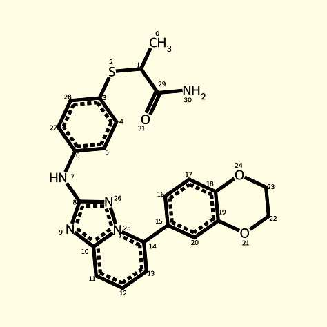 CC(Sc1ccc(Nc2nc3cccc(-c4ccc5c(c4)OCCO5)n3n2)cc1)C(N)=O